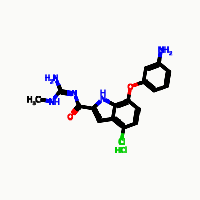 CNC(N)=NC(=O)c1cc2c(Cl)ccc(Oc3cccc(N)c3)c2[nH]1.Cl